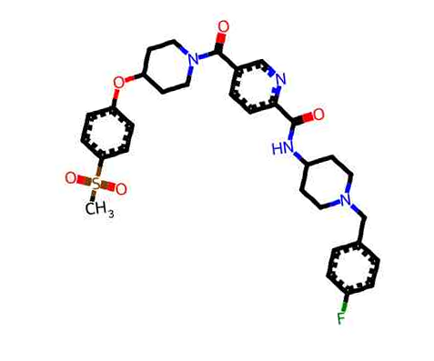 CS(=O)(=O)c1ccc(OC2CCN(C(=O)c3ccc(C(=O)NC4CCN(Cc5ccc(F)cc5)CC4)nc3)CC2)cc1